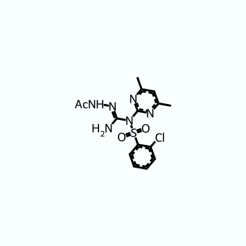 CC(=O)NN=C(N)N(c1nc(C)cc(C)n1)S(=O)(=O)c1ccccc1Cl